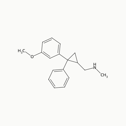 CNCC1CC1(c1ccccc1)c1cccc(OC)c1